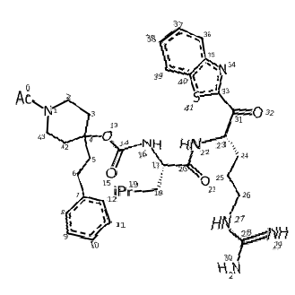 CC(=O)N1CCC(CCc2ccccc2)(OC(=O)N[C@@H](CC(C)C)C(=O)N[C@@H](CCCNC(=N)N)C(=O)c2nc3ccccc3s2)CC1